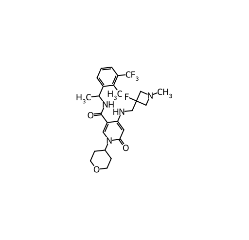 Cc1c(C(C)NC(=O)c2cn(C3CCOCC3)c(=O)cc2NCC2(F)CN(C)C2)cccc1C(F)(F)F